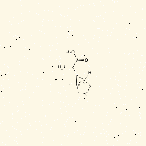 COC(=O)C(N)C1[C@H]2COC[C@@H]12.Cl